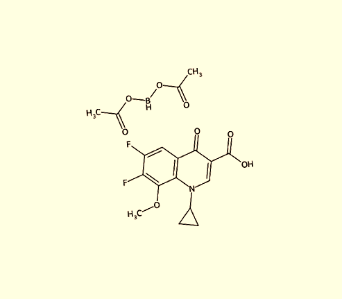 CC(=O)OBOC(C)=O.COc1c(F)c(F)cc2c(=O)c(C(=O)O)cn(C3CC3)c12